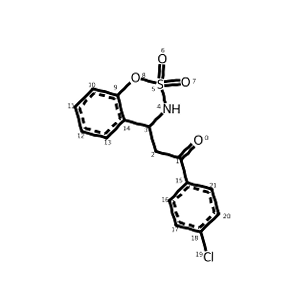 O=C(CC1NS(=O)(=O)Oc2ccccc21)c1ccc(Cl)cc1